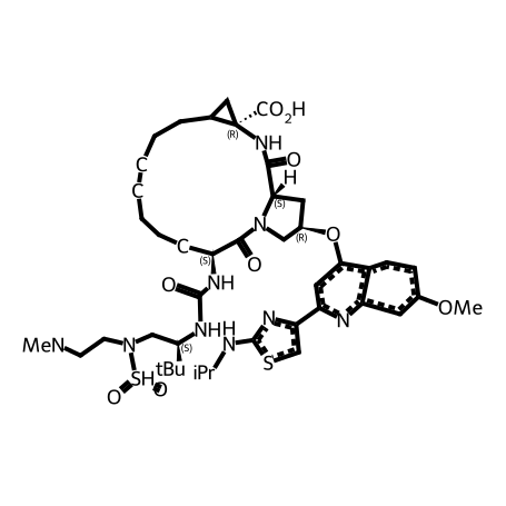 CNCCN(C[C@@H](NC(=O)N[C@H]1CCCCCCCC2C[C@@]2(C(=O)O)NC(=O)[C@@H]2C[C@@H](Oc3cc(-c4csc(NC(C)C)n4)nc4cc(OC)ccc34)CN2C1=O)C(C)(C)C)[SH](=O)=O